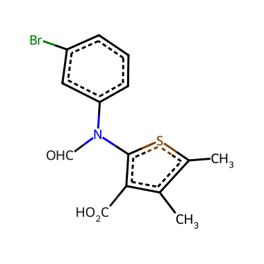 Cc1sc(N(C=O)c2cccc(Br)c2)c(C(=O)O)c1C